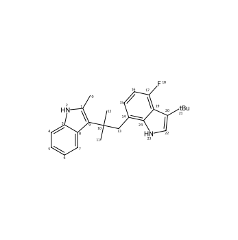 Cc1[nH]c2ccccc2c1C(C)(C)Cc1ccc(F)c2c(C(C)(C)C)c[nH]c12